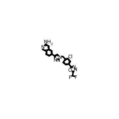 Nc1cc2cc(-c3cn(Cc4ccc(-c5nnc(C(F)F)o5)cc4Cl)nn3)ccc2cn1